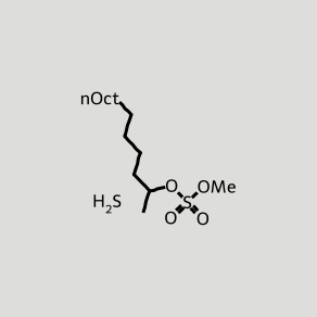 CCCCCCCCCCCCC(C)OS(=O)(=O)OC.S